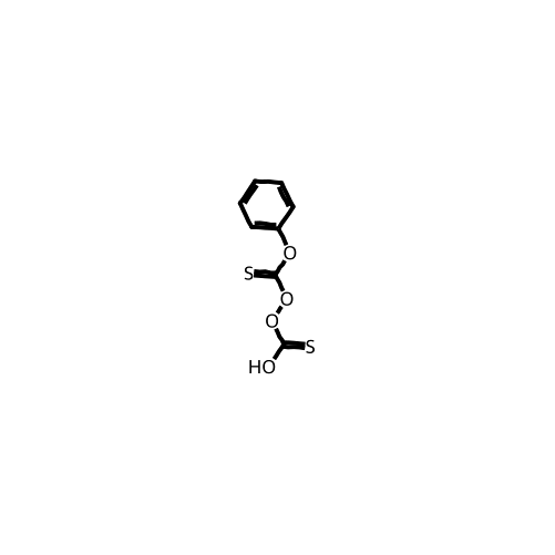 OC(=S)OOC(=S)Oc1ccccc1